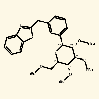 CCCCOC[C@H]1S[C@@H](c2cccc(Cc3nc4ccccc4s3)c2)[C@H](OCCCC)[C@@H](OCCCC)[C@@H]1OCCCC